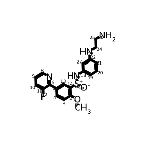 COc1ccc(-c2ncccc2F)cc1[S+]([O-])Nc1cccc(NCCN)c1